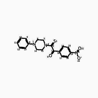 O=C(C(=S)N1CCN(c2ccccc2)CC1)c1ccc([N+](=O)[O-])cc1